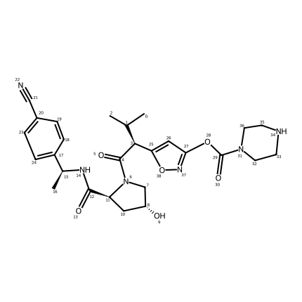 CC(C)[C@H](C(=O)N1C[C@H](O)C[C@H]1C(=O)N[C@@H](C)c1ccc(C#N)cc1)c1cc(OC(=O)N2CCNCC2)no1